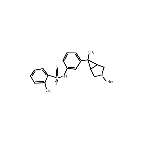 CCCCCCN1CC2C(C1)C2(C)c1cccc(NS(=O)(=O)c2ccccc2C)c1